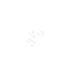 C[C@@H]1CN(c2ccnc(-c3cnc4ccc(C(F)(F)F)cn34)n2)C[C@H](C)N1CC1CCOCC1